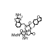 CCCN(C(=O)NC)N1CC(=O)N2[C@@H](Cc3ccc4occc4c3)C(=O)N(Cc3cccc4sc(N)nc34)C[C@@H]21